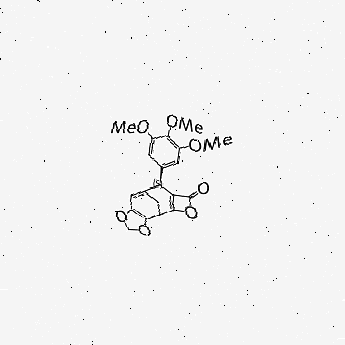 COc1cc([C@@H]2C3=CC4=C(OCO4)C(C3)C3=C2C(=O)O3)cc(OC)c1OC